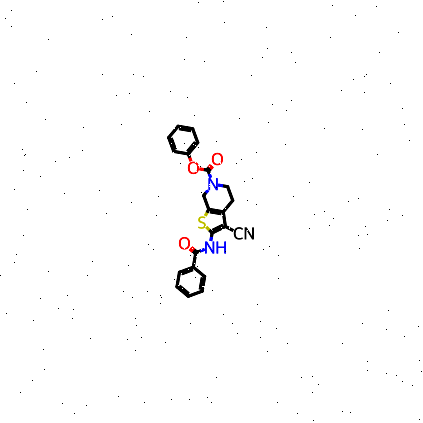 N#Cc1c(NC(=O)c2ccccc2)sc2c1CCN(C(=O)Oc1ccccc1)C2